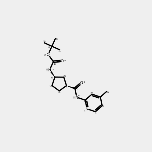 Cc1ccnc(NC(=O)[C@H]2CC[C@@H](NC(=O)OC(C)(C)C)C2)c1